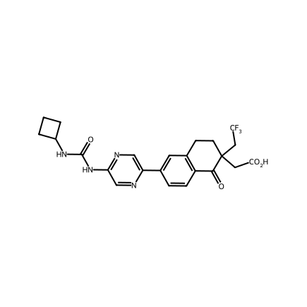 O=C(O)CC1(CC(F)(F)F)CCc2cc(-c3cnc(NC(=O)NC4CCC4)cn3)ccc2C1=O